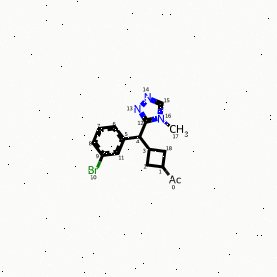 CC(=O)C1CC(C(c2cccc(Br)c2)c2nncn2C)C1